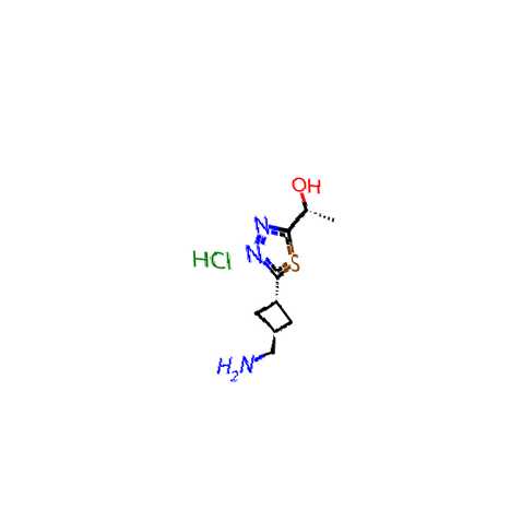 C[C@@H](O)c1nnc([C@H]2C[C@H](CN)C2)s1.Cl